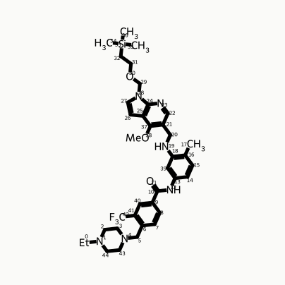 CCN1CCN(Cc2ccc(C(=O)Nc3ccc(C)c(NCc4cnc5c(ccn5COCC[Si](C)(C)C)c4OC)c3)cc2C(F)(F)F)CC1